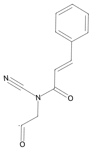 N#CN(C[C]=O)C(=O)C=Cc1ccccc1